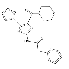 O=C(Cc1ccccc1)Nc1nc(-c2ccco2)c(C(=O)C2CCOCC2)s1